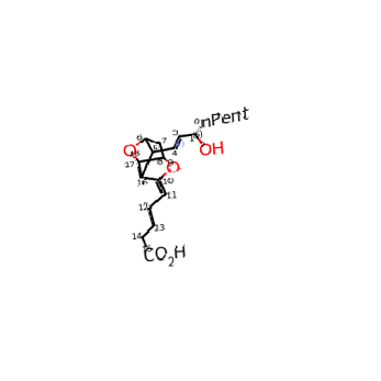 CCCCC[C@H](O)/C=C/C1C2CC3OC(=CCCCC(=O)O)C1C3O2